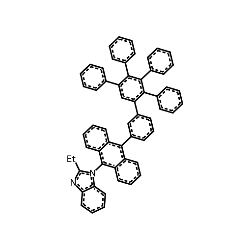 CCc1nc2ccccc2n1-c1c2ccccc2c(-c2cccc(-c3cc(-c4ccccc4)c(-c4ccccc4)c(-c4ccccc4)c3-c3ccccc3)c2)c2ccccc12